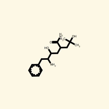 CC(C)(O)CC(CC(O)C(N)Cc1ccccc1)C(N)=O